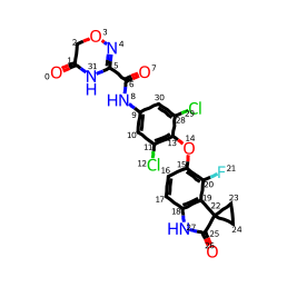 O=C1CON=C(C(=O)Nc2cc(Cl)c(Oc3ccc4c(c3F)C3(CC3)C(=O)N4)c(Cl)c2)N1